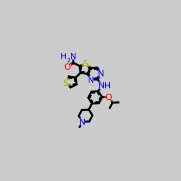 CC(C)Oc1cc(C2CCN(C)CC2)ccc1Nc1ncc2sc(C(N)=O)c(-c3ccsc3)c2n1